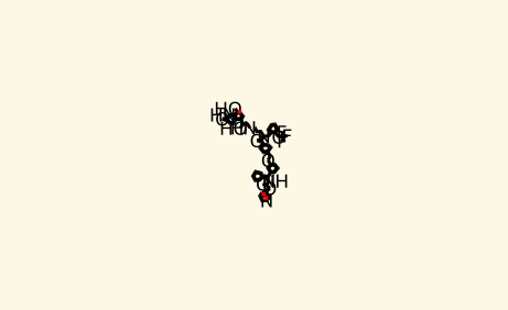 O=C(N[C@@H](c1ccccc1)c1cccc(OCc2ccc(C(=O)N(CCCNCC(O)c3ccc(O)c4[nH]c(=O)ccc34)Cc3ccccc3OC(F)(F)F)cc2)c1)OC1CN2CCC1CC2